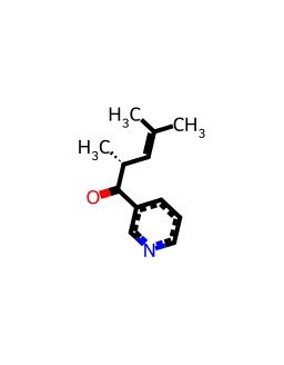 CC(C)=C[C@@H](C)C(=O)c1cccnc1